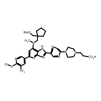 CCOc1ncc(-c2cc(N(C)CC3(COC)CCCC3)c3[nH]c(-c4cnc(N5CCN(CCC(=O)O)CC5)cn4)nc3n2)cc1C(F)(F)F